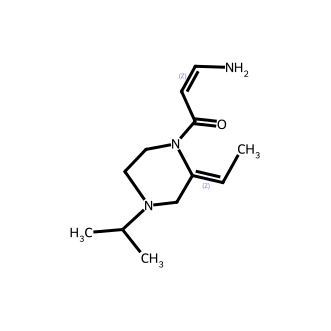 C/C=C1/CN(C(C)C)CCN1C(=O)/C=C\N